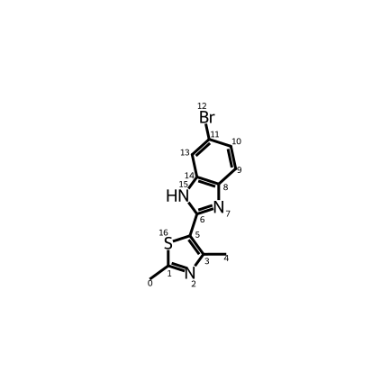 Cc1nc(C)c(-c2nc3ccc(Br)cc3[nH]2)s1